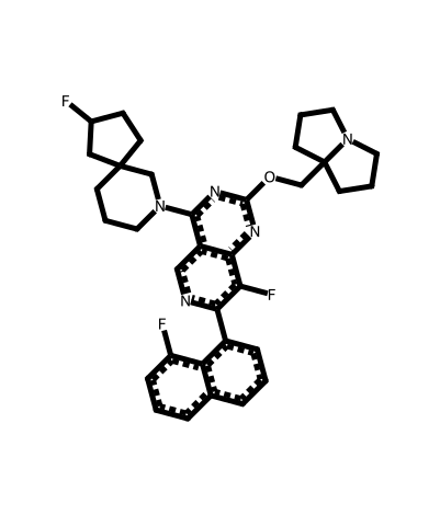 Fc1c(-c2cccc3cccc(F)c23)ncc2c(N3CCCC4(CCC(F)C4)C3)nc(OCC34CCCN3CCC4)nc12